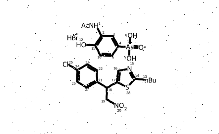 Br.CC(=O)Nc1cc([As](=O)(O)O)ccc1O.CCCCc1ncc(C(C[N+](=O)[O-])c2ccc(Cl)cc2)s1